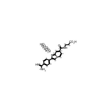 Cl.Cl.N=C(N)c1ccc(-c2cn3ccc(C(=O)NCCC(=O)O)cc3n2)cc1.O.O.O